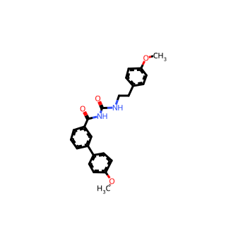 COc1ccc(CCNC(=O)NC(=O)c2cccc(-c3ccc(OC)cc3)c2)cc1